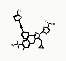 Cc1ccc(C#Cc2cccc(-c3nn(-c4nc(B(O)O)cs4)c(CC4CC4)c3Cc3ccc(S(N)(=O)=O)c(F)c3)c2)s1